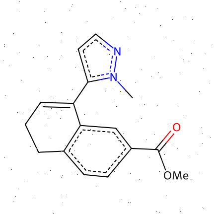 COC(=O)c1ccc2c(c1)C(c1ccnn1C)=CCC2